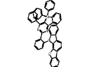 c1ccc(-c2nc(-c3ccccc3-n3c4ccccc4c4ccc5c6ccccc6oc5c43)nc3c2[Si](c2ccccc2)(c2ccccc2)c2ccccc2-3)cc1